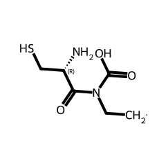 [CH2]CN(C(=O)O)C(=O)[C@@H](N)CS